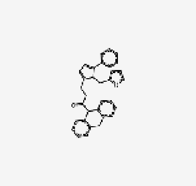 O=C(CCC1=CC=C(c2ccccc2)C1Cc1ccco1)C1c2ccccc2Cc2ccccc21